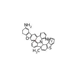 CC12C=Cc3sc4ccccc4c3C1N(c1c(N)cccc1-c1ccc3oc4c(c3c1)C=C(N)CC4)c1ccccc12